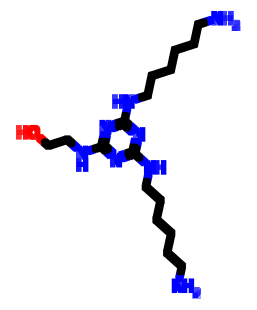 NCCCCCCNc1nc(NCCO)nc(NCCCCCCN)n1